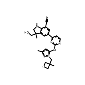 Cc1cc(Nc2nccc(-c3cc(C#N)c4c(c3)C(C)(CO)CN4)n2)n(CC2(C)COC2)n1